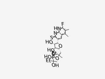 CCC(C)(C[C@H]1O[C@@H](c2cc3c(C)c(C)c(F)[nH]c-3nc2=S)[C@@H](O)C1O)OP(=O)(O)C(C)(O)CC